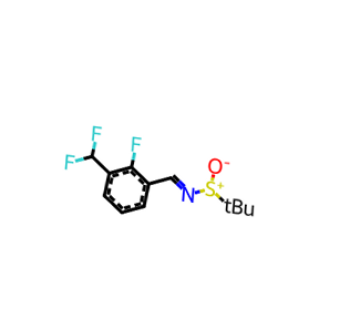 CC(C)(C)[S+]([O-])N=Cc1cccc(C(F)F)c1F